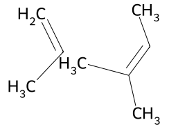 C=CC.CC=C(C)C